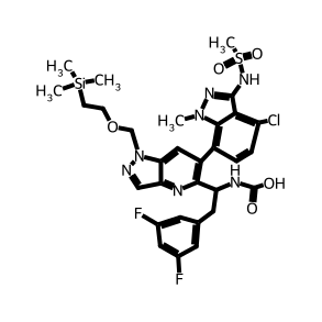 Cn1nc(NS(C)(=O)=O)c2c(Cl)ccc(-c3cc4c(cnn4COCC[Si](C)(C)C)nc3C(Cc3cc(F)cc(F)c3)NC(=O)O)c21